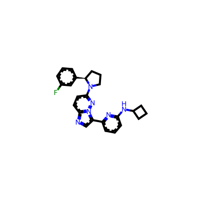 Fc1cccc([C@H]2CCCN2c2ccc3ncc(-c4cccc(NC5CCC5)n4)n3n2)c1